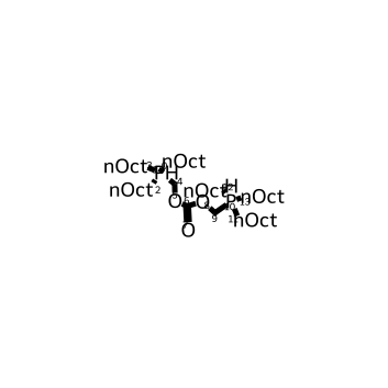 CCCCCCCC[PH](CCCCCCCC)(CCCCCCCC)COC(=O)OC[PH](CCCCCCCC)(CCCCCCCC)CCCCCCCC